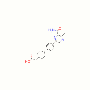 Cc1ncc(-c2ccc(C3CCC(CC(=O)O)CC3)cc2)nc1C(N)=O